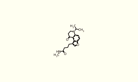 CNC(=O)CCCc1coc2ccc3c(c12)C(=O)CCN3C(C)C